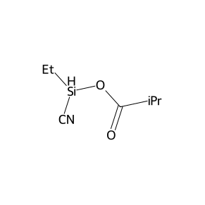 CC[SiH](C#N)OC(=O)C(C)C